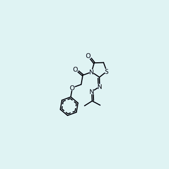 CC(C)=N/N=C1/SCC(=O)N1C(=O)COc1ccccc1